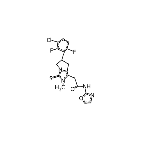 Cn1c(CC(=O)Nc2ncco2)c2n(c1=S)CC(c1c(F)ccc(Cl)c1F)C2